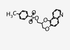 Cc1ccc(S(=O)(=O)OCC2COc3ccc4ncccc4c3O2)cc1